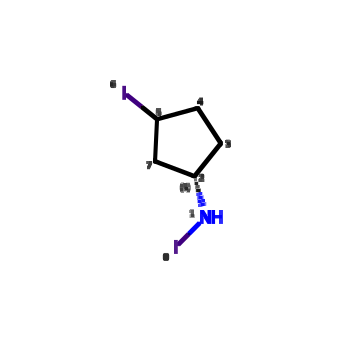 IN[C@H]1CCC(I)C1